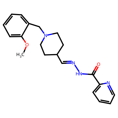 COc1ccccc1CN1CCC(/C=N/NC(=O)c2ccccn2)CC1